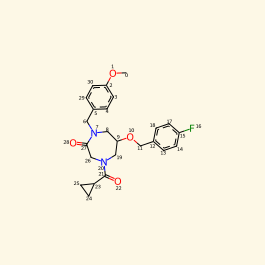 COc1ccc(CN2CC(OCc3ccc(F)cc3)CN(C(=O)C3CC3)CC2=O)cc1